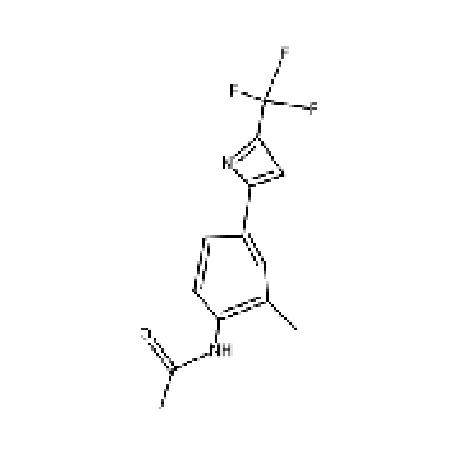 CC(=O)Nc1ccc(C2=CC(C(F)(F)F)=N2)cc1C